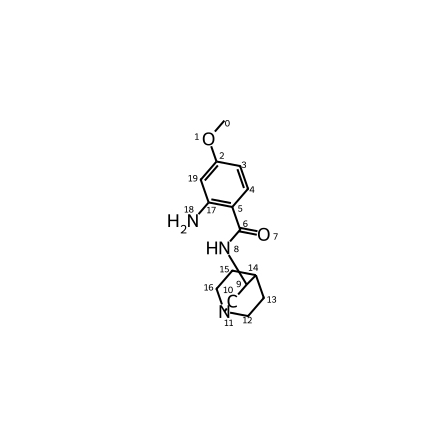 COc1ccc(C(=O)NC2CN3CCC2CC3)c(N)c1